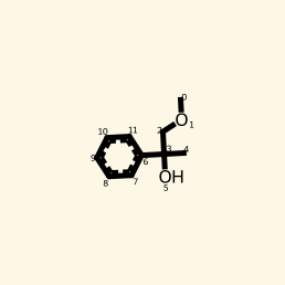 COCC(C)(O)c1ccccc1